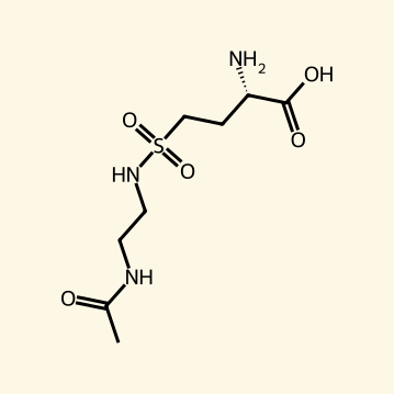 CC(=O)NCCNS(=O)(=O)CC[C@H](N)C(=O)O